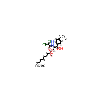 CCCCCCCCCCCCCCCCCC(=O)OC[C@@H](NC(=O)C(Cl)Cl)[C@H](O)c1ccc([N+](=O)[O-])cc1